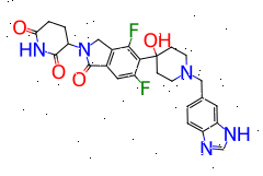 O=C1CCC(N2Cc3c(cc(F)c(C4(O)CCN(Cc5ccc6nc[nH]c6c5)CC4)c3F)C2=O)C(=O)N1